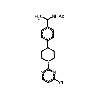 CC(=O)NC(C)c1ccc(C2CCN(c3nccc(Cl)n3)CC2)cc1